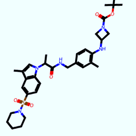 Cc1cc(CNC(=O)C(C)n2cc(C)c3cc(S(=O)(=O)N4CCCCC4)ccc32)ccc1NC1CN(C(=O)OC(C)(C)C)C1